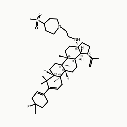 C=C(C)[C@@H]1CC[C@]2(NCCN3CCC(S(C)(=O)=O)CC3)CC[C@]3(C)[C@H](CC[C@@H]4[C@@]5(C)CC=C(C6=CCC(C)(F)CC6)C(C)(C)[C@@H]5CC[C@]43C)[C@@H]12